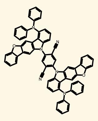 N#Cc1cc(-n2c3cc4c(cc3c3c(N(c5ccccc5)c5ccccc5)cccc32)oc2ccccc24)c(C#N)cc1-n1c2cc3c(cc2c2c(N(c4ccccc4)c4ccccc4)cccc21)oc1ccccc13